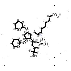 CCCCC(F)(F)[C@@H](CC[C@@H]1[C@@H](C/C=C\CCCCCC(=O)O)[C@@H](OC2CCCCO2)C[C@H]1O[C@H]1CCCCO1)O[Si](C)(C)C(C)(C)C